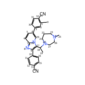 Cc1cc(-c2ccc3nc(-c4ccc(C#N)cc4)c(C(C)N4CCCN(C)CC4)n3c2)ccc1C#N